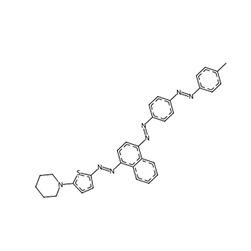 Cc1ccc(N=Nc2ccc(N=Nc3ccc(N=Nc4ccc(N5CCCCC5)s4)c4ccccc34)cc2)cc1